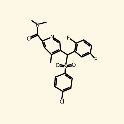 Cc1cc(C(=O)N(C)C)ncc1C(c1cc(F)ccc1F)S(=O)(=O)c1ccc(Cl)cc1